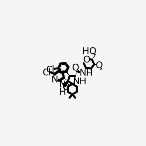 CO[C@H]1C[C@@H](NC(=O)[C@@H]2NC3(CCC(C)(C)CC3)[C@@]3(C(=O)Nc4nc(Cl)ccc43)[C@H]2c2cccc(Cl)c2)CO[C@@H]1CO